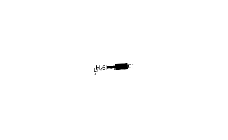 [C-]#C[SiH3].[Li+]